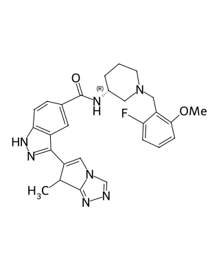 COc1cccc(F)c1CN1CCC[C@@H](NC(=O)c2ccc3[nH]nc(C4=Cn5cnnc5C4C)c3c2)C1